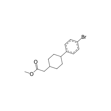 COC(=O)CC1CCC(c2ccc(Br)cc2)CC1